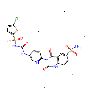 NS(=O)(=O)c1ccc2[nH]c(=O)n(-c3ccc(NC(=O)NS(=O)(=O)c4ccc(Cl)s4)cn3)c(=O)c2c1